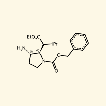 CCOC(=O)C(C(C)C)[C@@H]1[C@@H](N)CCN1C(=O)OCc1ccccc1